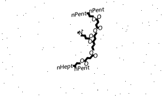 CCCCCCCC(CCCCC)CCOC(=O)CCC(=O)OCCCC(CCCOC(=O)CCC(=O)OCCC(CCCCC)CCCCC)OC(=O)CCCN(C)C